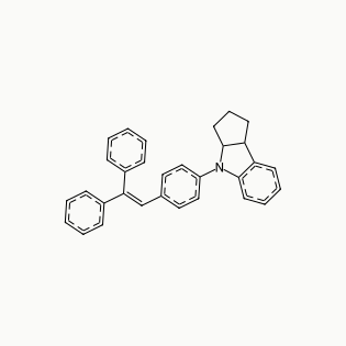 C(=C(c1ccccc1)c1ccccc1)c1ccc(N2c3ccccc3C3CCCC32)cc1